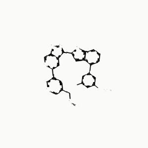 CCNCc1cncc(-c2cc3c(-c4cc5c(-c6cc(F)cc(OC)c6)cccc5[nH]4)n[nH]c3cn2)c1